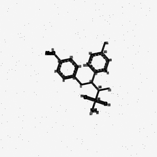 COc1ccc(CC(c2ncc(C)cn2)C(C)S(N)(=O)=O)cc1